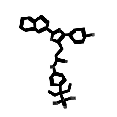 CCC(CC)(c1ccc(NC(=O)CCc2oc(-c3ccc4ccccc4c3)nc2-c2ccc(Cl)cc2)cc1)P(=O)(O)O